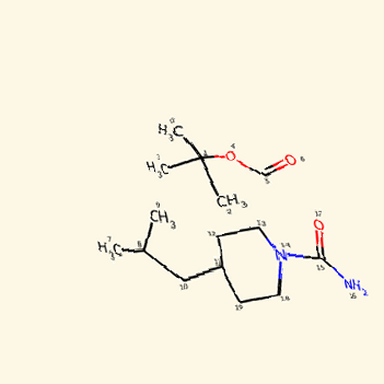 CC(C)(C)OC=O.CC(C)CC1CCN(C(N)=O)CC1